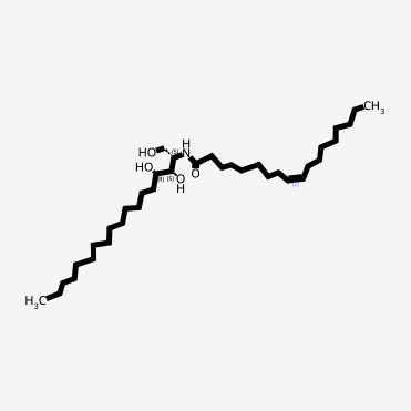 CCCCCCCC/C=C\CCCCCCCC(=O)N[C@@H](CO)[C@H](O)[C@H](O)CCCCCCCCCCCCCC